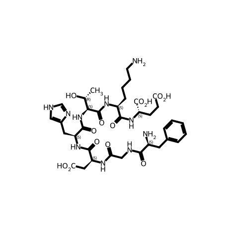 C[C@@H](O)[C@H](NC(=O)[C@H](Cc1c[nH]cn1)NC(=O)[C@H](CC(=O)O)NC(=O)CNC(=O)[C@@H](N)Cc1ccccc1)C(=O)N[C@@H](CCCCN)C(=O)N[C@@H](CCC(=O)O)C(=O)O